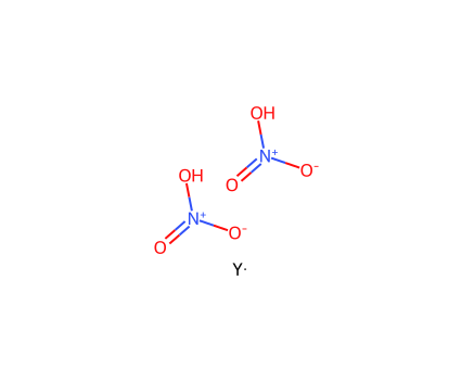 O=[N+]([O-])O.O=[N+]([O-])O.[Y]